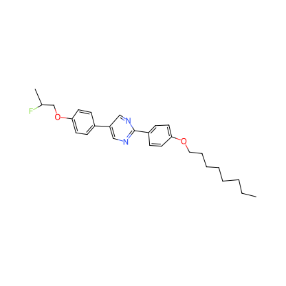 CCCCCCCCOc1ccc(-c2ncc(-c3ccc(OCC(C)F)cc3)cn2)cc1